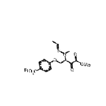 CC=NN(C)C(COc1ccc(C(=O)OCC)cc1)C(=O)C(=O)OC